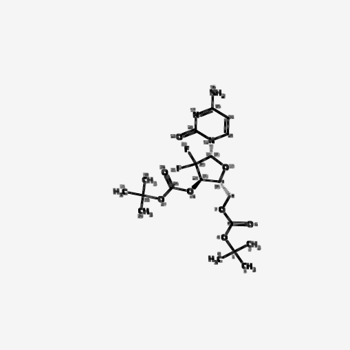 CC(C)(C)OC(=O)OC[C@H]1O[C@@H](n2ccc(N)nc2=O)C(F)(F)[C@@H]1OC(=O)OC(C)(C)C